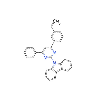 C=Cc1cccc(-c2cc(-c3ccccc3)nc(-n3c4ccccc4c4ccccc43)n2)c1